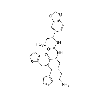 NCCCC[C@H](NC(=O)N[C@@H](CC(=O)O)c1ccc2c(c1)OCO2)C(=O)N(Cc1cccs1)Cc1cccs1